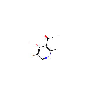 COC(=O)c1c(C(F)(F)F)ncc(Br)c1O